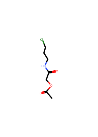 CC(=O)OCC(=O)NCCCCl